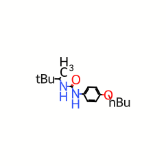 CCCCOc1ccc(NC(=O)NC(C)C(C)(C)C)cc1